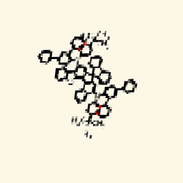 CC(C)(C)c1ccc(N(c2ccc(-c3ccccc3)cc2-c2ccccc2)c2cc3c(c4ccccc24)-c2c(cc(N(c4ccc(C(C)(C)C)cc4)c4ccc(-c5ccccc5)cc4-c4ccccc4)c4c2oc2ccccc24)C32c3ccccc3-c3ccccc32)cc1